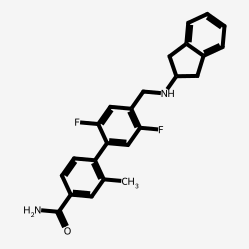 Cc1cc(C(N)=O)ccc1-c1cc(F)c(CNC2Cc3ccccc3C2)cc1F